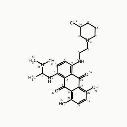 CC(Nc1ccc(NCCN2CCCC(Cl)C2)c2c1C(=O)c1c(O)ccc(O)c1C2=O)N(C)C